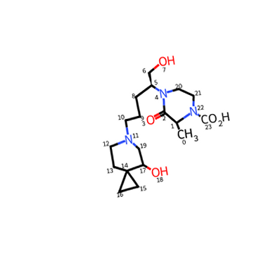 CC1C(=O)N([C@H](CO)CCCN2CCC3(CC3)C(O)C2)CCN1C(=O)O